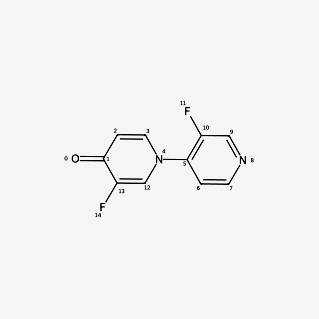 O=c1ccn(-c2ccncc2F)cc1F